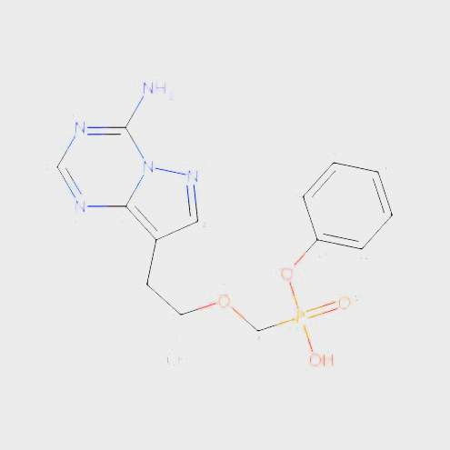 C[C@H](Cc1cnn2c(N)ncnc12)OCP(=O)(O)Oc1ccccc1